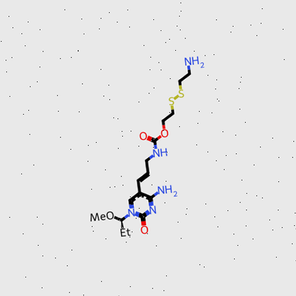 CC[C@@H](OC)n1cc(/C=C/CNC(=O)OCCSSCCN)c(N)nc1=O